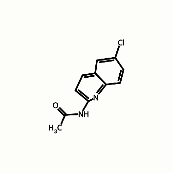 CC(=O)Nc1ccc2cc(Cl)ccc2n1